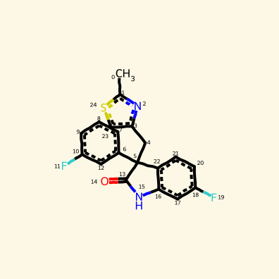 Cc1nc(CC2(c3cccc(F)c3)C(=O)Nc3cc(F)ccc32)cs1